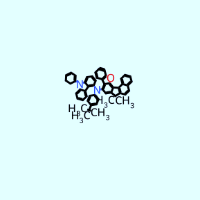 CC(C)(C)c1ccc(N(c2cc3c(c4oc5c#cccc5c24)-c2c(ccc4ccccc24)C3(C)C)c2cccc3c2c2ccccc2n3C2=CC=CCC2)cc1